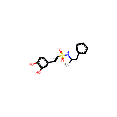 CC(Cc1ccccc1)NS(=O)(=O)/C=C/c1ccc(O)c(O)c1